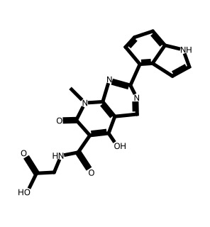 Cn1c(=O)c(C(=O)NCC(=O)O)c(O)c2cnc(-c3cccc4[nH]ccc34)nc21